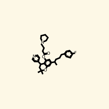 CC(CCCc1ccc(F)cc1)c1cc(OC(=O)CCCN2CCCCC2)c2c(c1)OC(C)(C)CC2c1ccncc1